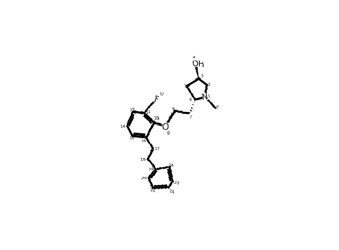 CN1C[C@H](O)C[C@H]1CCOc1c(F)cccc1CCc1ccccc1